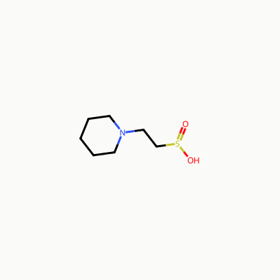 O=S(O)CCN1CCCCC1